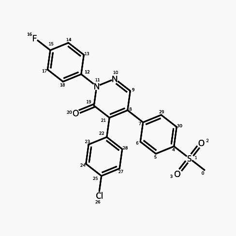 CS(=O)(=O)c1ccc(-c2cnn(-c3ccc(F)cc3)c(=O)c2-c2ccc(Cl)cc2)cc1